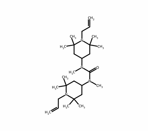 C=CCN1C(C)(C)CC(N(C)C(=O)N(C)C2CC(C)(C)N(CC=C)C(C)(C)C2)CC1(C)C